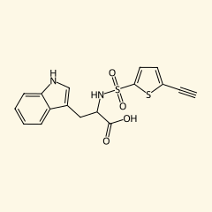 C#Cc1ccc(S(=O)(=O)NC(Cc2c[nH]c3ccccc23)C(=O)O)s1